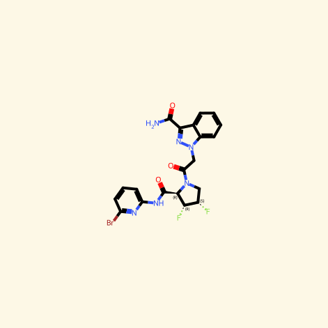 NC(=O)c1nn(CC(=O)N2C[C@H](F)[C@H](F)[C@H]2C(=O)Nc2cccc(Br)n2)c2ccccc12